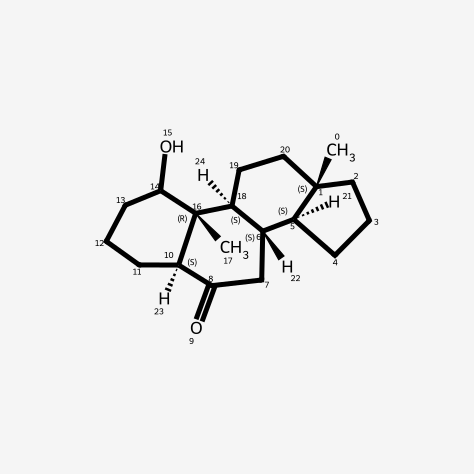 C[C@@]12CCC[C@H]1[C@@H]1CC(=O)[C@H]3CCCC(O)[C@]3(C)[C@H]1CC2